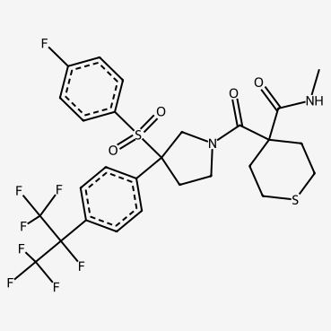 CNC(=O)C1(C(=O)N2CCC(c3ccc(C(F)(C(F)(F)F)C(F)(F)F)cc3)(S(=O)(=O)c3ccc(F)cc3)C2)CCSCC1